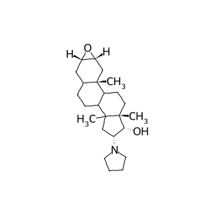 CC12C[C@@H](N3CCCC3)[C@@H](O)[C@@]1(C)CCC1C2CCC2C[C@@H]3O[C@@H]3C[C@@]21C